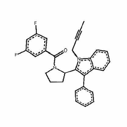 CC#CCn1c(C2CCCN2C(=O)c2cc(F)cc(F)c2)c(-c2ccccc2)c2ccccc21